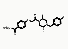 CCCCCCCC(=O)c1ccc(OCC(=O)N2C[C@@H](C)N(Cc3ccc(F)cc3)C[C@@H]2C)cc1